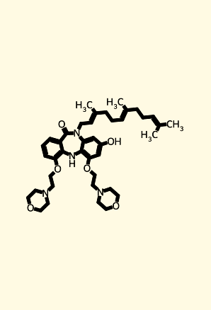 CC(C)=CCC/C(C)=C/CC/C(C)=C/CN1C(=O)c2cccc(OCCN3CCOCC3)c2Nc2c(OCCN3CCOCC3)cc(O)cc21